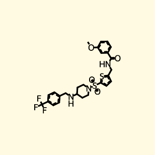 COc1cccc(C(=O)NCc2ccc(S(=O)(=O)N3CCC(NCc4ccc(C(F)(F)F)cc4)CC3)s2)c1